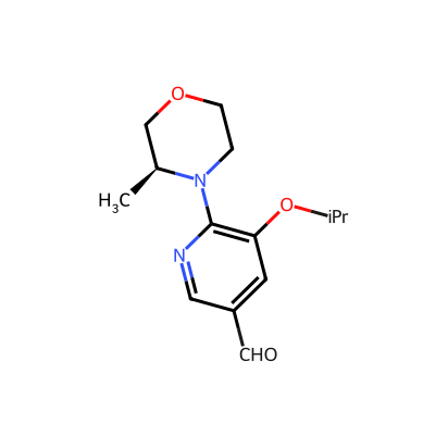 CC(C)Oc1cc(C=O)cnc1N1CCOC[C@@H]1C